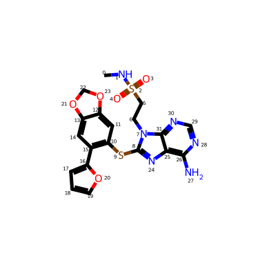 CNS(=O)(=O)CCn1c(Sc2cc3c(cc2-c2ccco2)OCO3)nc2c(N)ncnc21